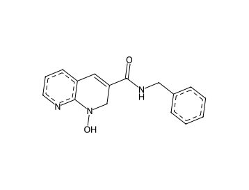 O=C(NCc1ccccc1)C1=Cc2cccnc2N(O)C1